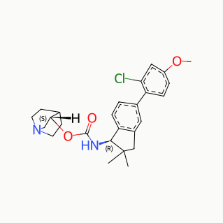 COc1ccc(-c2ccc3c(c2)CC(C)(C)[C@H]3NC(=O)O[C@@H]2CN3CCC2CC3)c(Cl)c1